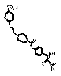 CC(C)(C)NC(=O)N(S)c1ccc(OC(=O)N2CCN(CCCc3ccc(C(=O)O)cn3)CC2)nc1